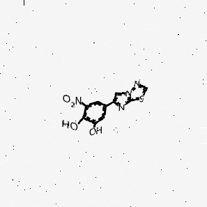 O=[N+]([O-])c1cc(-c2cn3ncsc3n2)cc(O)c1O